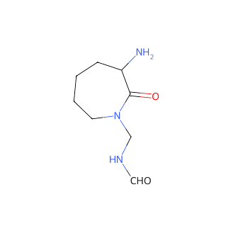 NC1CCCCN(CNC=O)C1=O